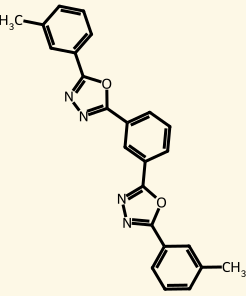 Cc1cccc(-c2nnc(-c3cccc(-c4nnc(-c5cccc(C)c5)o4)c3)o2)c1